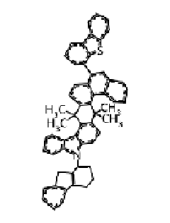 CC1(C)c2ccc3c(c2C(C)(C)c2ccc4c(-c5cccc6c5sc5ccccc56)cc5ccccc5c4c21)c1ccccc1n3C1=CCCC2=C1Cc1ccccc12